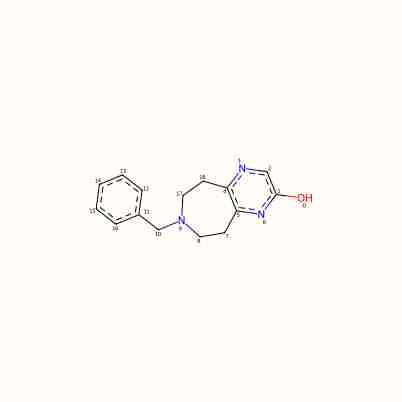 Oc1cnc2c(n1)CCN(Cc1ccccc1)CC2